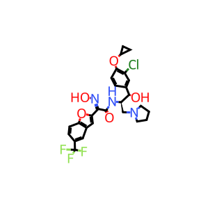 O=C(N[C@H](CN1CCCC1)[C@H](O)c1ccc(OC2CC2)c(Cl)c1)/C(=N/O)c1cc2cc(C(F)(F)F)ccc2o1